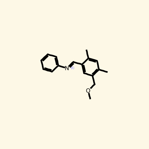 COCc1cc(/C=N/c2ccccc2)c(C)cc1C